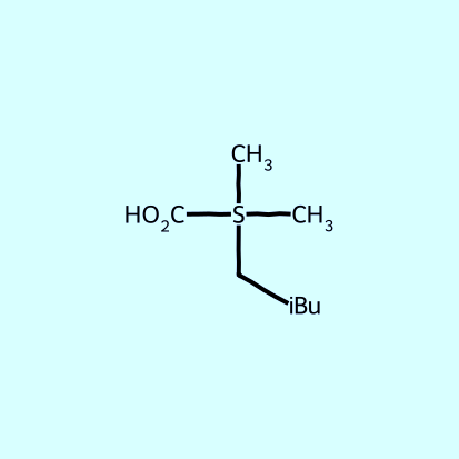 CCC(C)CS(C)(C)C(=O)O